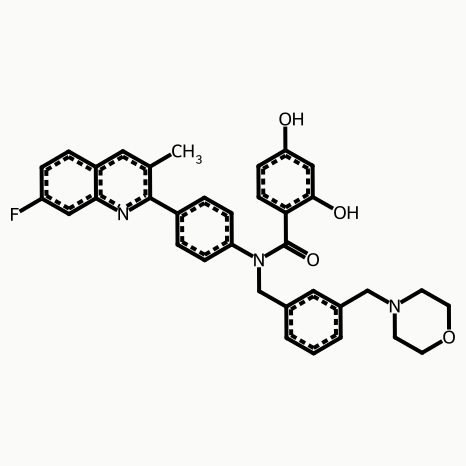 Cc1cc2ccc(F)cc2nc1-c1ccc(N(Cc2cccc(CN3CCOCC3)c2)C(=O)c2ccc(O)cc2O)cc1